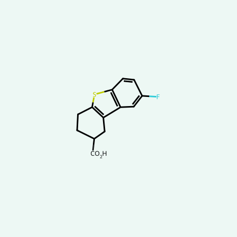 O=C(O)C1CCc2sc3ccc(F)cc3c2C1